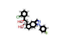 C[C@]12Cc3cnn(-c4ccc(F)cc4)c3C=C1CC[C@@]2(CO)CC(O)c1ccccc1Cl